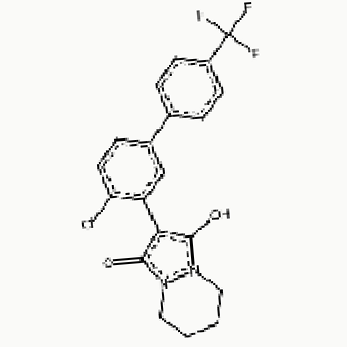 O=c1c(-c2cc(-c3ccc(C(F)(F)F)cc3)ccc2Cl)c(O)n2n1CCCC2